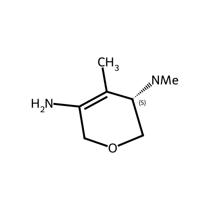 CN[C@@H]1COCC(N)=C1C